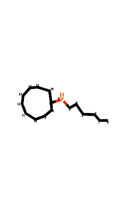 CCCCCCPC1CCCCCCCCC1